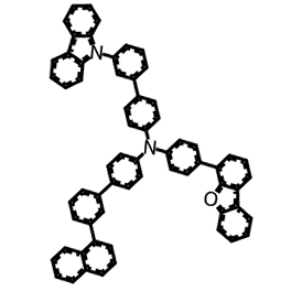 c1cc(-c2ccc(N(c3ccc(-c4cccc(-n5c6ccccc6c6ccccc65)c4)cc3)c3ccc(-c4cccc5c4oc4ccccc45)cc3)cc2)cc(-c2cccc3ccccc23)c1